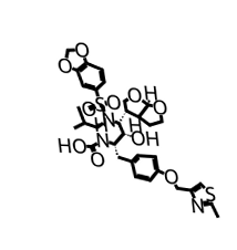 Cc1nc(COc2ccc(C[C@H](NC(=O)O)[C@@H](O)C([C@@H]3CO[C@H]4OCC[C@H]43)N(CC(C)C)S(=O)(=O)c3ccc4c(c3)OCO4)cc2)cs1